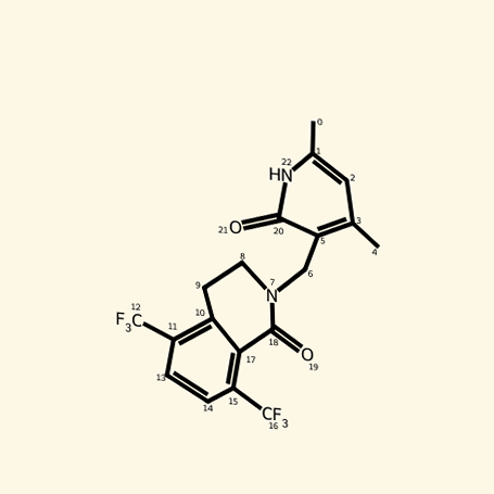 Cc1cc(C)c(CN2CCc3c(C(F)(F)F)ccc(C(F)(F)F)c3C2=O)c(=O)[nH]1